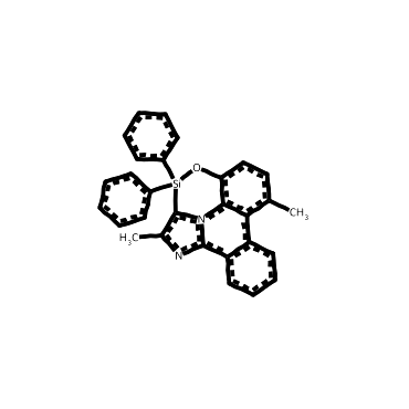 Cc1nc2c3ccccc3c3c(C)ccc4c3n2c1[Si](c1ccccc1)(c1ccccc1)O4